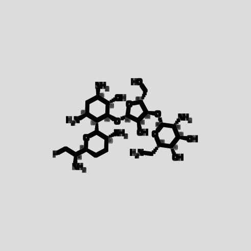 NC[C@@H]1O[C@H](O[C@H]2[C@@H](O)[C@H](O[C@@H]3[C@@H](O)[C@H](N)C[C@H](N)[C@H]3C3O[C@H]([C@@H](N)CF)CC[C@H]3N)O[C@@H]2CO)[C@H](N)[C@@H](O)[C@@H]1O